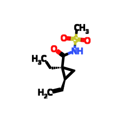 C=C[C@@H]1C[C@]1(CC)C(=O)NS(C)(=O)=O